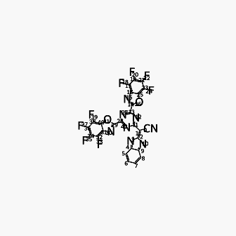 N#CC(=C1N=c2ccccc2=N1)c1nc(-c2nc3c(F)c(F)c(F)c(F)c3o2)nc(-c2nc3c(F)c(F)c(F)c(F)c3o2)n1